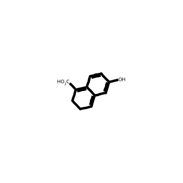 O=C(O)C1=c2ccc(O)cc2=CCC1